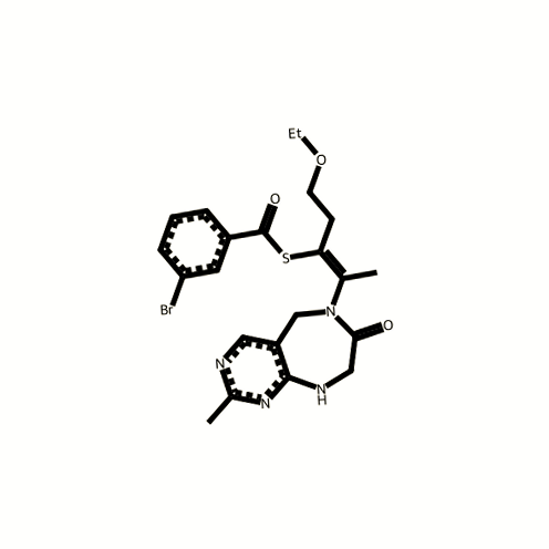 CCOCC/C(SC(=O)c1cccc(Br)c1)=C(\C)N1Cc2cnc(C)nc2NCC1=O